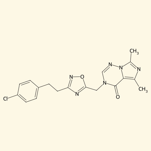 Cc1nc(C)n2ncn(Cc3nc(CCc4ccc(Cl)cc4)no3)c(=O)c12